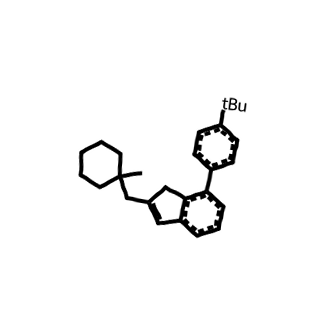 CC1(CC2=Cc3cccc(-c4ccc(C(C)(C)C)cc4)c3C2)CCCCC1